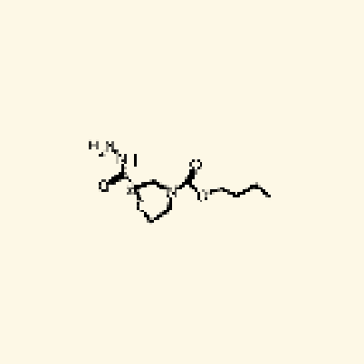 CCCCOC(=O)N1CCC[C@H](C(=O)NN)C1